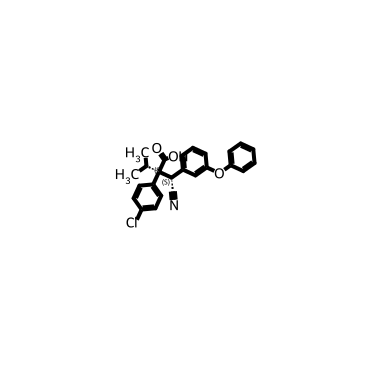 CC(C)[C@@](C(=O)O)(c1ccc(Cl)cc1)[C@@H](C#N)c1cccc(Oc2ccccc2)c1